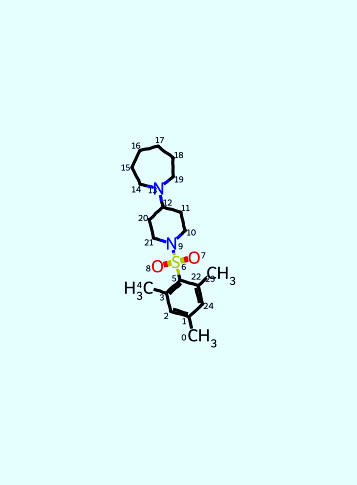 Cc1cc(C)c(S(=O)(=O)N2CCC(N3CCCCCC3)CC2)c(C)c1